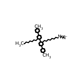 CCCCCCCCc1cc(-c2ccc(C)cc2)ccc1-c1ccc(-c2ccc(C)cc2)cc1CCCCCCCCN=[N+]=[N-]